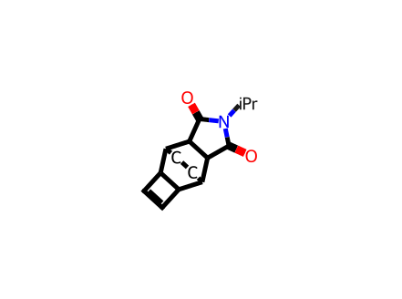 CC(C)N1C(=O)C2C3CCC(C4C=CC43)C2C1=O